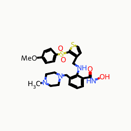 COc1ccc(S(=O)(=O)c2sccc2CNc2c(CN3CCN(C)CC3)cccc2C(=O)NO)cc1